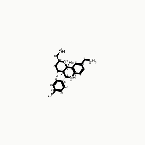 CCc1ccc2c(c1)[C@@H]1O[C@H](CO)CC[C@@H]1[C@@H](c1ccc(F)cc1)N2